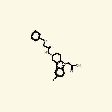 O=C(O)Cn1c2c(c3cc(F)ccc31)C[C@@H](NC(=O)COc1ccccc1)CC2